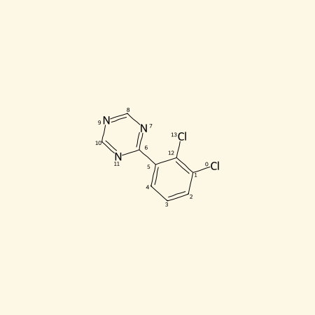 Clc1cccc(-c2ncncn2)c1Cl